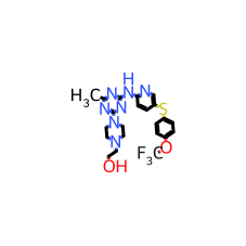 Cc1nc(Nc2ccc(Sc3ccc(OC(F)(F)F)cc3)cn2)nc(N2CCN(CCO)CC2)n1